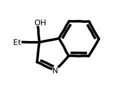 [CH2]CC1(O)C=Nc2ccccc21